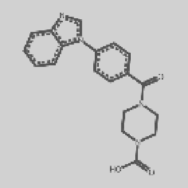 O=C(O)N1CCN(C(=O)c2ccc(-n3cnc4ccccc43)cc2)CC1